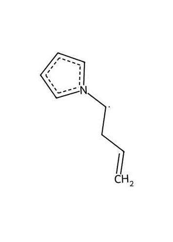 C=CC[CH]n1cccc1